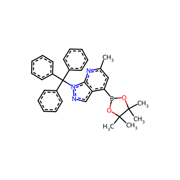 Cc1cc(B2OC(C)(C)C(C)(C)O2)c2cnn(C(c3ccccc3)(c3ccccc3)c3ccccc3)c2n1